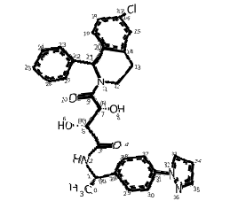 C[C@@H](NC(=O)[C@H](O)[C@@H](O)C(=O)N1CCc2cc(Cl)ccc2C1c1ccccc1)c1ccc(-n2cccn2)cc1